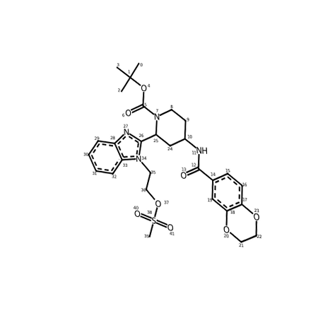 CC(C)(C)OC(=O)N1CCC(NC(=O)c2ccc3c(c2)OCCO3)CC1c1nc2ccccc2n1CCOS(C)(=O)=O